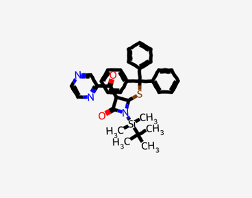 CC(C)(C)[Si](C)(C)N1C(=O)C(C(=O)c2cnccn2)C1SC(c1ccccc1)(c1ccccc1)c1ccccc1